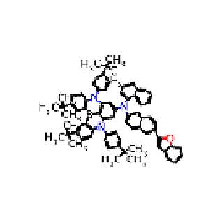 CC(C)(C)c1ccc(N2c3ccc(C(C)(C)C)cc3B3c4cc(C(C)(C)C)ccc4N(c4ccc(C(C)(C)C)cc4)c4cc(N(c5ccc6cc(-c7cc8ccccc8o7)ccc6c5)c5cccc6ccccc56)cc2c43)cc1